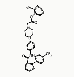 CCCc1ccccc1OC(=O)CN1CCN(c2ccc(NC(=O)c3ccccc3-c3ccc(C(F)(F)F)cc3)cc2)CC1